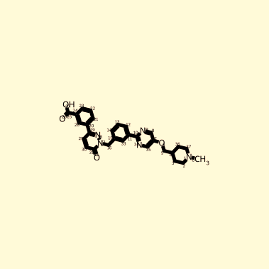 CN1CCC(COc2cnc(-c3cccc(Cn4nc(-c5cccc(C(=O)O)c5)ccc4=O)c3)nc2)CC1